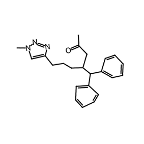 CC(=O)CC(CCCc1cn(C)nn1)C(c1ccccc1)c1ccccc1